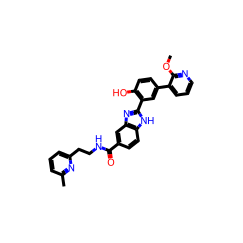 COc1ncccc1-c1ccc(O)c(-c2nc3cc(C(=O)NCCc4cccc(C)n4)ccc3[nH]2)c1